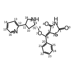 O=C1NC(=O)C(=C(OC[C@@H]2CC(c3ccccn3)CN2)c2ccccc2)S1